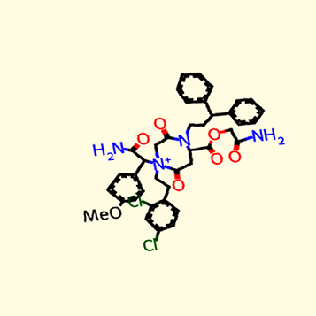 COc1ccc(C(C(N)=O)[N+]2(CCc3ccc(Cl)cc3Cl)CC(=O)N(CCC(c3ccccc3)c3ccccc3)C(C(=O)OCC(N)=O)CC2=O)cc1